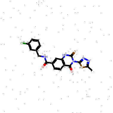 Cc1nnc(-n2c(=S)[nH]c3cc(C(=O)NCc4cccc(Cl)c4)ccc3c2=O)s1